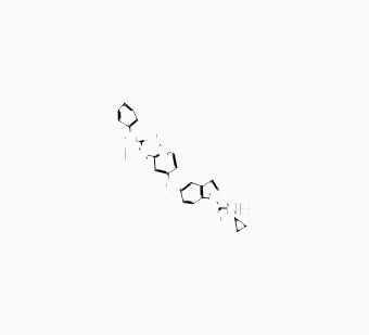 O=C(Nc1cc(Oc2ccc3c(ccn3C(=O)NC3CC3)c2)ccn1)Oc1ccccc1